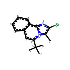 Cc1c(Br)nc2c3ccccc3cc(C(C)(C)C)n12